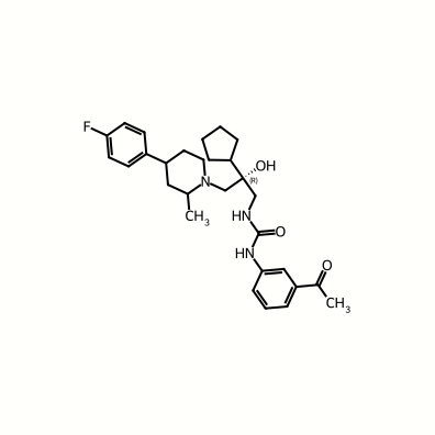 CC(=O)c1cccc(NC(=O)NC[C@@](O)(CN2CCC(c3ccc(F)cc3)CC2C)C2CCCC2)c1